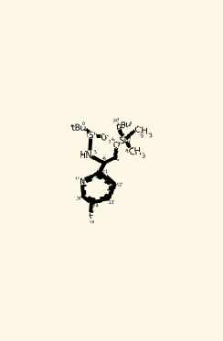 CC(C)(C)[S+]([O-])NC(CO[Si](C)(C)C(C)(C)C)c1ccc(F)cn1